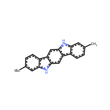 Cc1ccc2c(c1)[nH]c1cc3c(cc12)[nH]c1cc(C(C)(C)C)ccc13